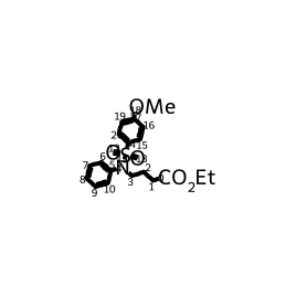 CCOC(=O)CCCN(c1ccccc1)S(=O)(=O)c1ccc(OC)cc1